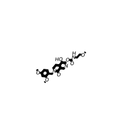 COCCNC(=O)Oc1ncc2c(=O)n(Cc3ccc(OC)cc3OC)ccc2c1O